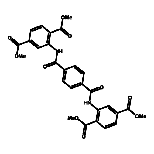 COC(=O)c1ccc(C(=O)OC)c(NC(=O)c2ccc(C(=O)Nc3cc(C(=O)OC)ccc3C(=O)OC)cc2)c1